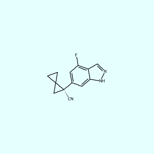 N#C[C@]1(c2cc(F)c3cn[nH]c3c2)CC12CC2